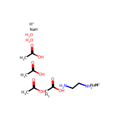 CC(=O)O.CC(=O)O.CC(=O)O.CC(=O)O.NCCN.O.O.[H+].[H+].[NaH].[NaH]